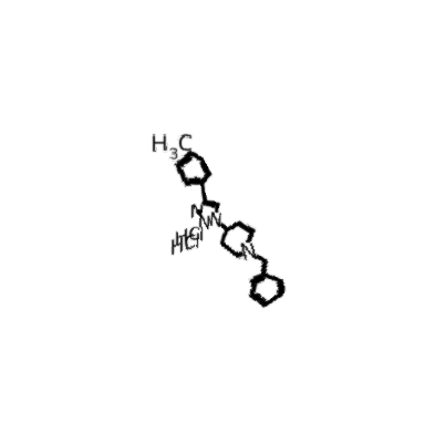 Cc1ccc(-c2cn(C3CCN(Cc4ccccc4)CC3)nn2)cc1.Cl.Cl